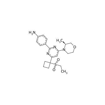 CCS(=O)(=O)C1(c2cc(N3CCOC[C@@H]3C)nc(-c3ccc(N)cc3)n2)CCC1